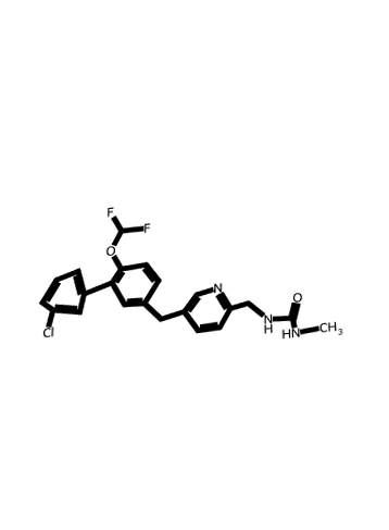 CNC(=O)NCc1ccc(Cc2ccc(OC(F)F)c(-c3cccc(Cl)c3)c2)cn1